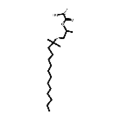 CCCCCCCCCCCCC(C)(C)OCC(C)OC(=O)[C@@H](C)O